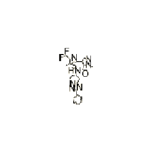 Cc1sc(-c2cnn(C)c2C(=O)NC2CCn3nc(-c4ccccc4)nc3C2)nc1C(F)F